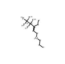 CC[CH]OC/C=C(\CC)C(F)(F)C(F)(F)F